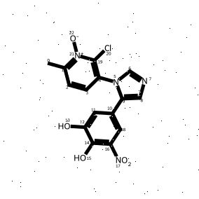 Cc1ccc(-n2cncc2-c2cc(O)c(O)c([N+](=O)[O-])c2)c(Cl)[n+]1[O-]